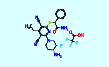 CCc1c(C#N)c(SC(C(N)=O)c2ccccc2)nc(N2CC[C@@H](N)[C@@H](F)C2)c1C#N.O=C(O)C(F)(F)F